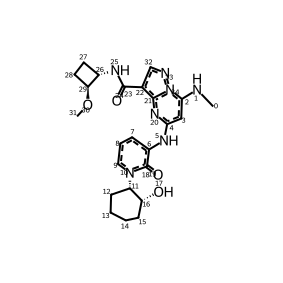 CNc1cc(Nc2cccn([C@H]3CCCC[C@H]3O)c2=O)nc2c(C(=O)N[C@H]3CC[C@@H]3OC)cnn12